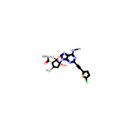 CNC(=O)[C@H]1[C@H](C)C[C@@](O)(n2cnc3c(NC(C)C)nc(C#Cc4ccc(Cl)s4)nc32)[C@@]1(C)O